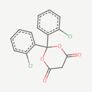 O=C1CC(=O)OC(c2ccccc2Cl)(c2ccccc2Cl)O1